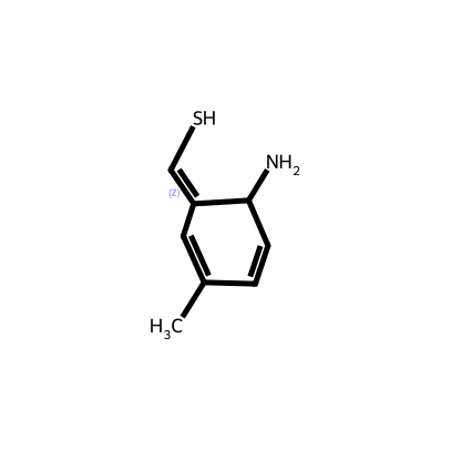 CC1=C/C(=C/S)C(N)C=C1